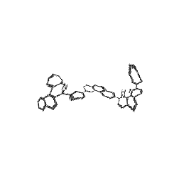 C1=CCC2N=C(c3cccc(C4=Cc5c(ccc6cc(C7C=Cc8ccc9ccc(-c%10ccccc%10)nc9c8N7)ccc56)CC4)c3)c3ccc4ccccc4c3C2=C1